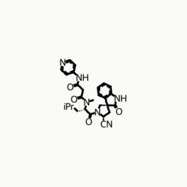 CC(C)C[C@@H](C(=O)N1C[C@]2(C[C@H]1C#N)C(=O)Nc1ccccc12)N(C)C(=O)CC(=O)Nc1ccncc1